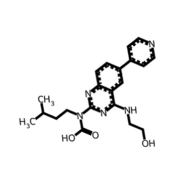 CC(C)CCN(C(=O)O)c1nc(NCCO)c2cc(-c3ccncc3)ccc2n1